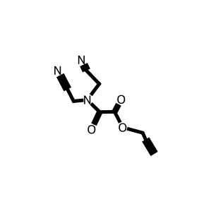 C#CCOC(=O)C(=O)N(CC#N)CC#N